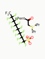 CCCCCC(=O)C[S+](C(C)C)C(C)C.O=S(=O)([O-])C(F)(F)C(F)(F)C(F)(F)C(F)(F)C(F)(F)C(F)(F)C(F)(F)C(F)(F)F